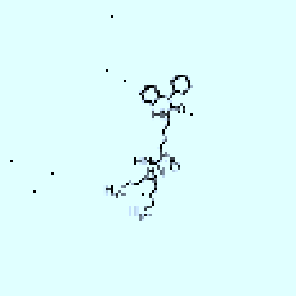 CCCCC(CCCC)NC(=N)N(C=O)CCCCNC(=O)C(c1ccccc1)c1ccccc1